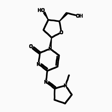 CN1CCC/C1=N/c1ccn([C@H]2C[C@@H](O)[C@@H](CO)O2)c(=O)n1